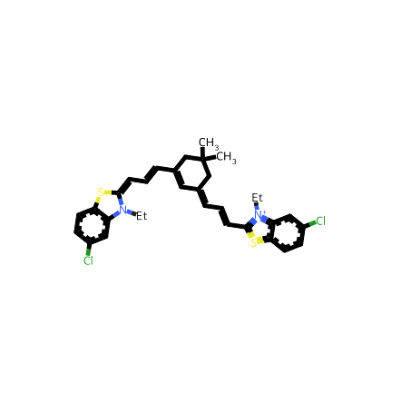 CCN1C(=CC=CC2=C/C(=C/C=Cc3sc4ccc(Cl)cc4[n+]3CC)CC(C)(C)C2)Sc2ccc(Cl)cc21